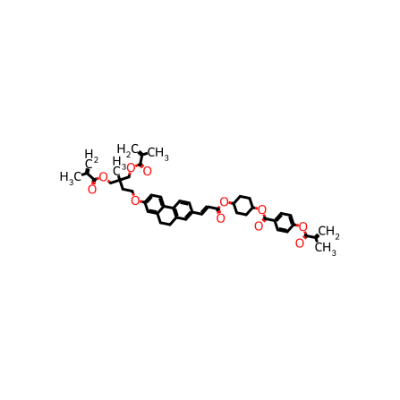 C=C(C)C(=O)OCC(C)(CCOc1ccc2c(c1)CCc1cc(/C=C/C(=O)OC3CCC(OC(=O)c4ccc(OC(=O)C(=C)C)cc4)CC3)ccc1-2)COC(=O)C(=C)C